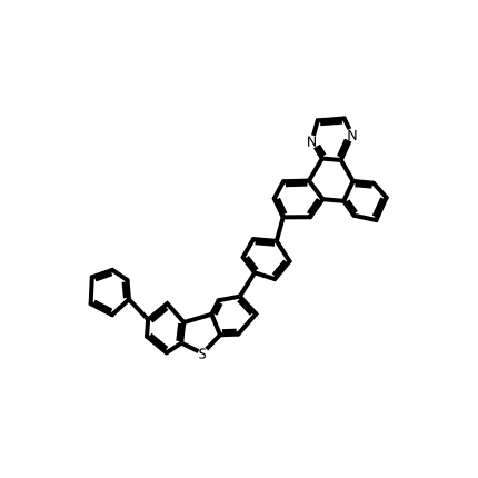 c1ccc(-c2ccc3sc4ccc(-c5ccc(-c6ccc7c(c6)c6ccccc6c6nccnc76)cc5)cc4c3c2)cc1